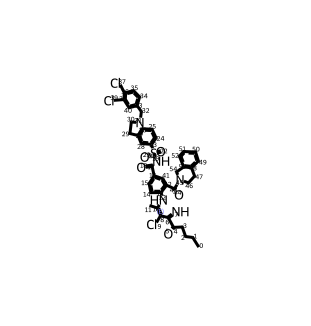 CCCCC(=O)C(=N)/C(Cl)=C(/C)Nc1ccc(C(=O)NS(=O)(=O)c2ccc3c(c2)CCN3Cc2ccc(Cl)c(Cl)c2)cc1C(=O)N1CCc2ccccc2C1